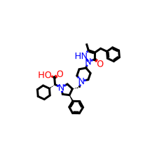 Cc1[nH]n(C2CCN(C[C@H]3CN([C@@H](C(=O)O)C4CCCCC4)C[C@@H]3c3ccccc3)CC2)c(=O)c1Cc1ccccc1